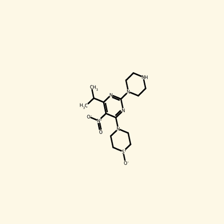 CC(C)c1nc(N2CCNCC2)nc(N2CC[S+]([O-])CC2)c1[N+](=O)[O-]